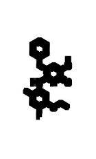 CCOc1cc(Nc2nc(=O)c(OC)cn2Cc2ccccc2)c(C)cc1F